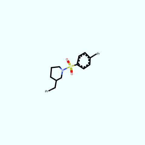 CC(C)CC1CCCN(S(=O)(=O)c2ccc(C(C)C)cc2)C1